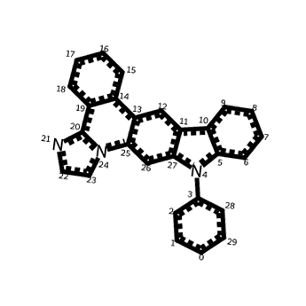 c1ccc(-n2c3ccccc3c3cc4c5ccccc5c5nccn5c4cc32)cc1